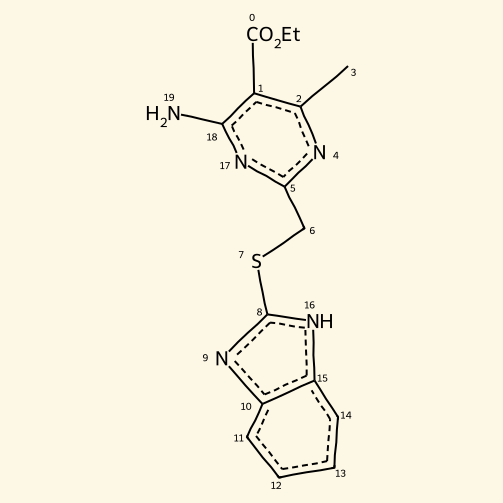 CCOC(=O)c1c(C)nc(CSc2nc3ccccc3[nH]2)nc1N